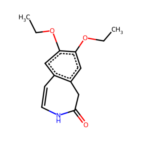 CCOc1cc2c(cc1OCC)CC(=O)NC=C2